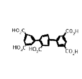 O=C(O)c1cc(C(=O)O)cc(-c2ccc(-c3cc(C(=O)O)cc(C(=O)O)c3)c(C(=O)O)c2)c1